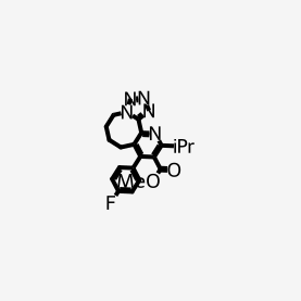 COC(=O)c1c(C(C)C)nc2c(c1-c1ccc(F)cc1)CCCCn1nnnc1-2